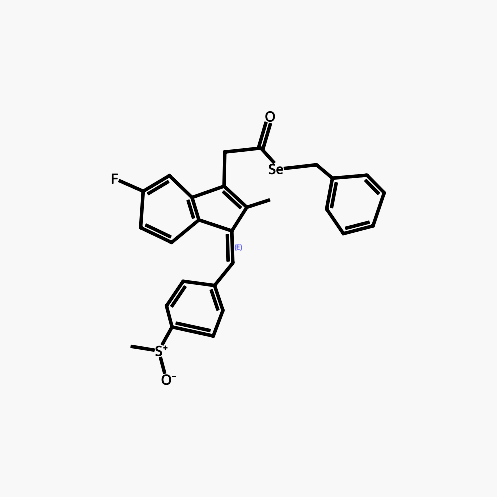 CC1=C(CC(=O)[Se]Cc2ccccc2)c2cc(F)ccc2/C1=C\c1ccc([S+](C)[O-])cc1